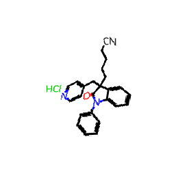 Cl.N#CCCCCC1(Cc2ccncc2)C(=O)N(c2ccccc2)c2ccccc21